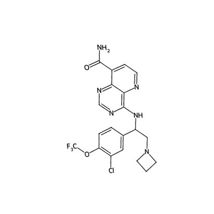 NC(=O)c1ccnc2c(NC(CN3CCC3)c3ccc(OC(F)(F)F)c(Cl)c3)ncnc12